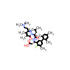 Cc1cc(C)c(-c2cc(C)c(F)c([C@H](CC(=O)O)NC(=O)[C@H](CC(C)C)n3nc(CCN(C)C)c(C)c(C)c3=O)c2)c(C)c1